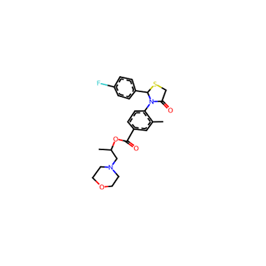 Cc1cc(C(=O)OC(C)CN2CCOCC2)ccc1N1C(=O)CSC1c1ccc(F)cc1